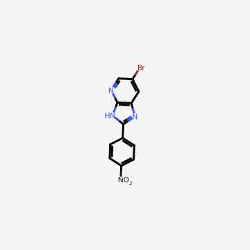 O=[N+]([O-])c1ccc(-c2nc3cc(Br)cnc3[nH]2)cc1